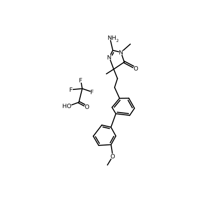 COc1cccc(-c2cccc(CCC3(C)N=C(N)N(C)C3=O)c2)c1.O=C(O)C(F)(F)F